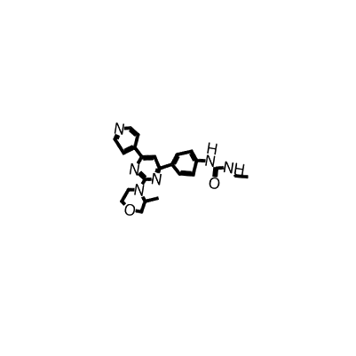 CCNC(=O)Nc1ccc(-c2cc(-c3ccncc3)nc(N3CCOCC3C)n2)cc1